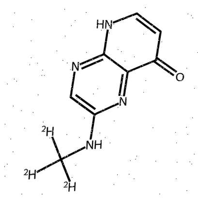 [2H]C([2H])([2H])Nc1cnc2[nH]ccc(=O)c2n1